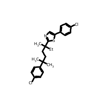 CCC(C)(CCC(C)(C)c1ccc(Cl)cc1)c1ncc(-c2ccc(Cl)cc2)s1